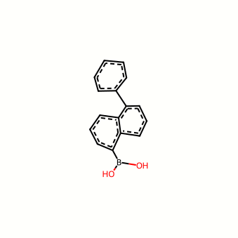 OB(O)c1cccc2c(-c3ccccc3)cccc12